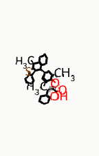 Cc1cc(-c2c3ccccc3c(C)c3sc4ccccc4c23)cc(C)c1O[C@H](Cc1ccccc1)C(=O)O